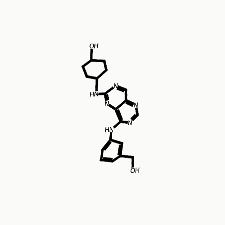 OCc1cccc(Nc2ncnc3cnc(NC4CCC(O)CC4)nc23)c1